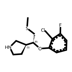 CSC[C@H](Oc1cccc(F)c1Cl)[C@H]1CCNC1